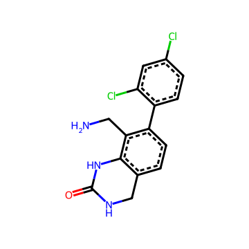 NCc1c(-c2ccc(Cl)cc2Cl)ccc2c1NC(=O)NC2